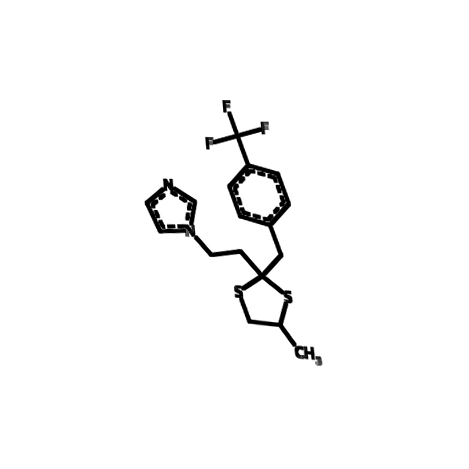 CC1CSC(CCn2ccnc2)(Cc2ccc(C(F)(F)F)cc2)S1